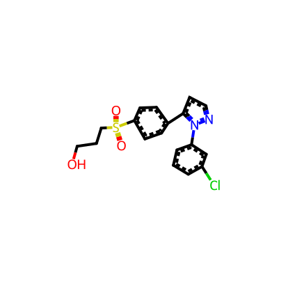 O=S(=O)(CCCO)c1ccc(-c2ccnn2-c2cccc(Cl)c2)cc1